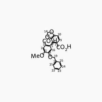 COc1cc(C(=O)O)c(-c2c(C(=O)O)ccc3c2OCO3)cc1OCc1ccccc1